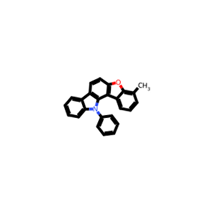 Cc1cccc2c1oc1ccc3c4ccccc4n(-c4ccccc4)c3c12